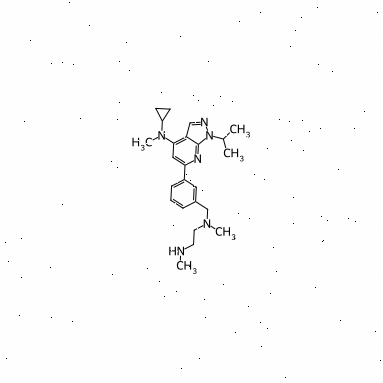 CNCCN(C)Cc1cccc(-c2cc(N(C)C3CC3)c3cnn(C(C)C)c3n2)c1